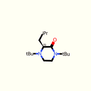 CC(C)C[C@H]1C(=O)N(C(C)(C)C)CCN1C(C)(C)C